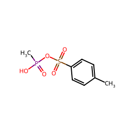 Cc1ccc(S(=O)(=O)OP(C)(=O)O)cc1